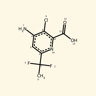 CC(F)(F)c1cc(N)c(Cl)c(C(=O)O)n1